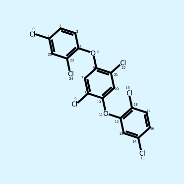 Clc1ccc(Oc2cc(Cl)c(Oc3cc(Cl)ccc3Cl)cc2Cl)c(Cl)c1